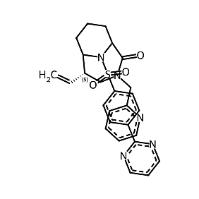 C=C[C@H]1CN(Cc2ccccn2)C(=O)C2CCCC1N2S(=O)(=O)c1ccc(-c2ncccn2)cc1